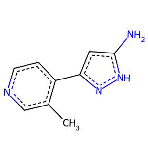 Cc1cnccc1-c1cc(N)[nH]n1